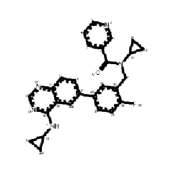 O=C(c1cccnc1)N(Cc1cc(-c2ccc3ncnc(NC4CC4)c3c2)ccc1F)C1CC1